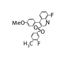 COc1ccc(-c2c(S(=O)(=O)c3ccc(C)c(F)c3)cnc3c(F)cccc23)cc1